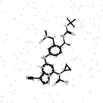 C[C@H](NC(=O)OC(C)(C)C)c1ccc(Nc2cc(N(C(=O)O)C3CC3)n3ncc(C#N)c3n2)cc1C[S+](C)[O-]